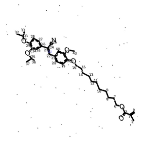 C=C(C)C(=O)OCCCCCCCCCCCOc1ccc(/C=C(\C#N)c2ccc(OC(C)C)c(OC(C)C)c2)cc1OC